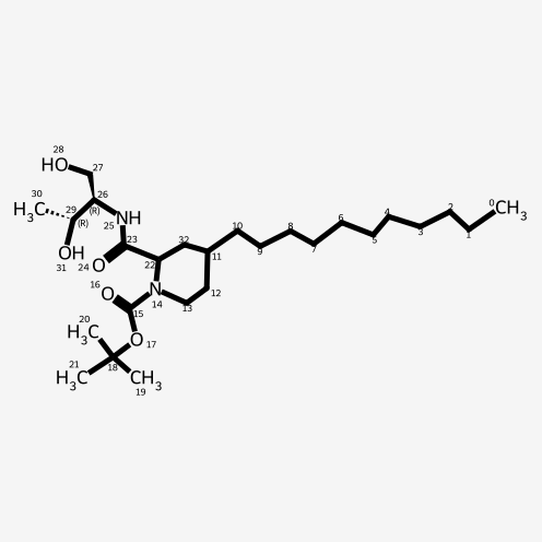 CCCCCCCCCCCC1CCN(C(=O)OC(C)(C)C)C(C(=O)N[C@H](CO)[C@@H](C)O)C1